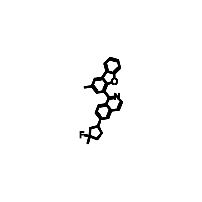 Cc1cc(-c2nccc3cc(C4CCC(C)(F)C4)ccc23)c2oc3ccccc3c2c1